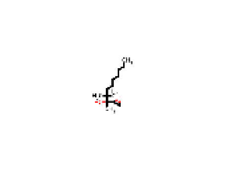 CCCCCCCC(C)(C)C(C)(O)C1CO1